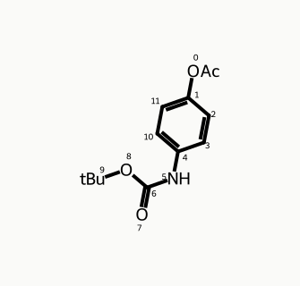 CC(=O)Oc1ccc(NC(=O)OC(C)(C)C)cc1